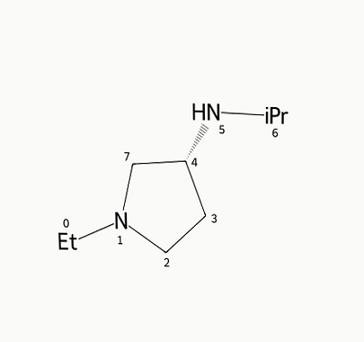 CCN1CC[C@@H](NC(C)C)C1